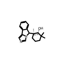 CC1(C)CCC[C@@](C)(C2c3ccccc3-c3cncn32)[C@@H]1O